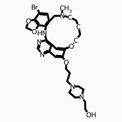 CN1CCCCCOc2cc3c(ncnc3cc2OCCCN2CCN(CCO)CC2)Nc2c(cc(Br)c3c2OCO3)C1